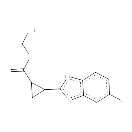 CCOC(=O)C1CC1c1nc2cc(Cl)ccc2[nH]1